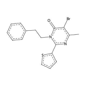 Cc1nc(-c2cccs2)n(CCc2ccccc2)c(=O)c1Br